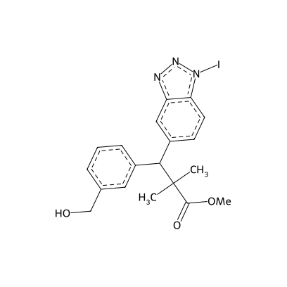 COC(=O)C(C)(C)C(c1cccc(CO)c1)c1ccc2c(c1)nnn2I